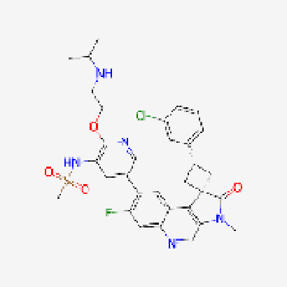 CC(C)NCCOc1ncc(-c2cc3c(cc2F)ncc2c3[C@]3(C[C@@H](c4cccc(Cl)c4)C3)C(=O)N2C)cc1NS(C)(=O)=O